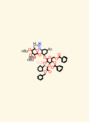 BOC1C(OC2CC(C(C)=O)CC(N=[N+]=[N-])C2OC2OC(C)C(OCCCC)C(OCCCC)C2OCCCC)OC(COC(=O)c2ccccc2)C(OC(=O)c2ccccc2)C1O[C@@H](CC1CCCCC1)C(=O)OCc1ccccc1